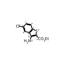 CCOC(=O)c1sc2ccc(Cl)cc2c1N